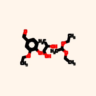 CC(O)CO.CCOC(C)OCC.CCOc1cc(C=O)ccc1O